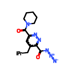 CC(C)Cc1cc(C(=O)N2CCCCC2)nnc1C(=O)N=[N+]=[N-]